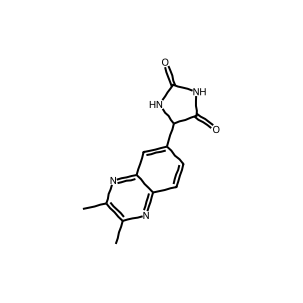 Cc1nc2ccc(C3NC(=O)NC3=O)cc2nc1C